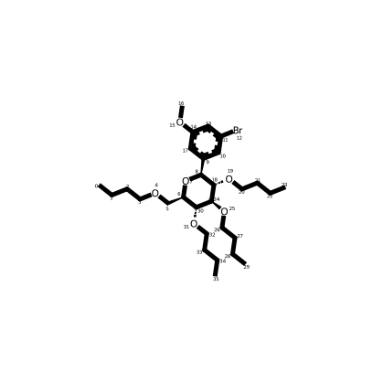 CCCCOC[C@H]1O[C@@H](c2cc(Br)cc(OC)c2)[C@H](OCCCC)[C@@H](OCCCC)[C@@H]1OCCCC